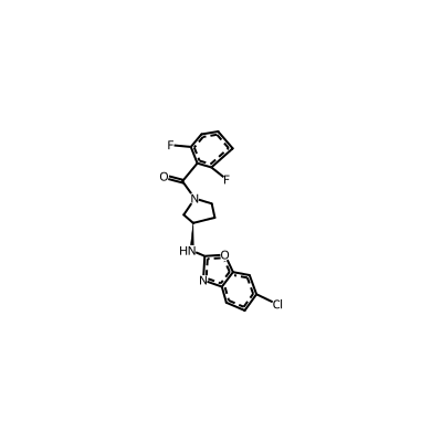 O=C(c1c(F)cccc1F)N1CC[C@@H](Nc2nc3ccc(Cl)cc3o2)C1